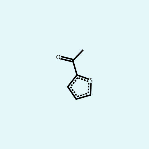 CC(=O)c1[c]c[c]s1